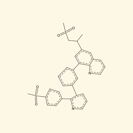 CC(CS(C)(=O)=O)c1cc(-c2cccc(-c3cccnc3-c3ccc(S(C)(=O)=O)cc3)c2)c2ncccc2c1